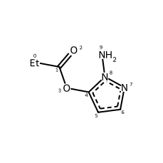 CCC(=O)Oc1ccnn1N